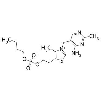 CCCCOP(=O)([O-])OCCc1sc[n+](Cc2cnc(C)nc2N)c1C